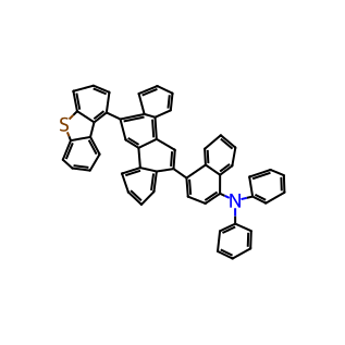 c1ccc(N(c2ccccc2)c2ccc(-c3cc4c5ccccc5c(-c5cccc6sc7ccccc7c56)cc4c4ccccc34)c3ccccc23)cc1